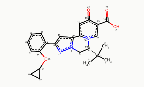 CC(C)(C)[C@@H]1Cn2nc(-c3ccccc3OC3CC3)cc2-c2cc(=O)c(C(=O)O)cn21